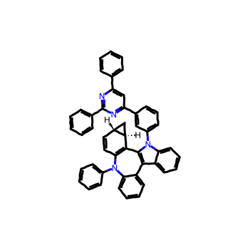 C1=C[C@@H]2C[C@H]2C2=C1N(c1ccccc1)c1ccccc1-c1c2n(-c2cccc(-c3cc(-c4ccccc4)nc(-c4ccccc4)n3)c2)c2ccccc12